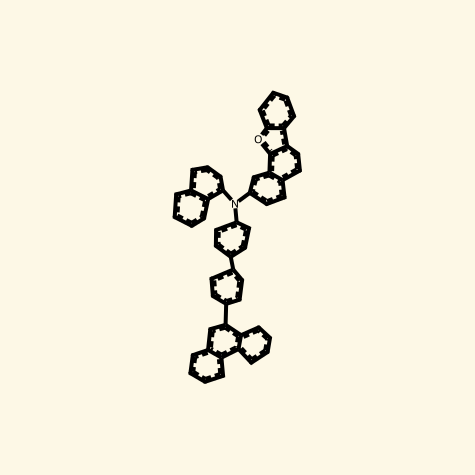 c1ccc2c(N(c3ccc(-c4ccc(-c5cc6ccccc6c6ccccc56)cc4)cc3)c3ccc4ccc5c6ccccc6oc5c4c3)cccc2c1